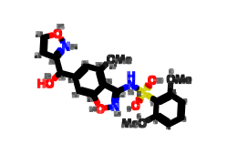 COc1cccc(OC)c1S(=O)(=O)Nc1noc2cc(C(O)c3ccon3)cc(OC)c12